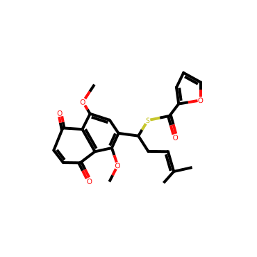 COc1cc(C(CC=C(C)C)SC(=O)c2ccco2)c(OC)c2c1C(=O)C=CC2=O